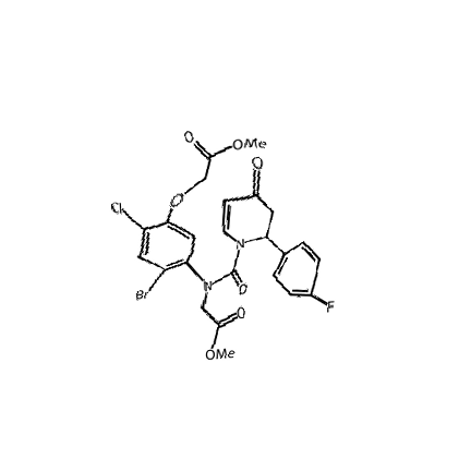 COC(=O)COc1cc(N(CC(=O)OC)C(=O)N2C=CC(=O)CC2c2ccc(F)cc2)c(Br)cc1Cl